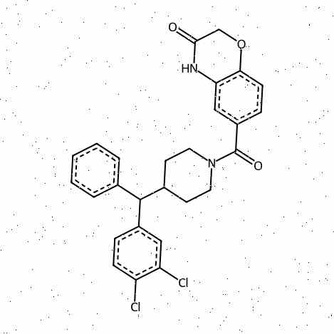 O=C1COc2ccc(C(=O)N3CCC(C(c4ccccc4)c4ccc(Cl)c(Cl)c4)CC3)cc2N1